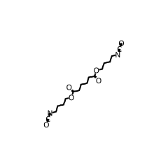 O=C=NCCCCOC(=O)CCCCC(=O)OCCCCN=C=O